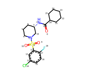 O=C(N[C@H]1CCCN(S(=O)(=O)c2cc(Cl)ccc2F)C1)C1CCCCC1